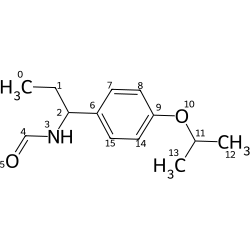 CCC(NC=O)c1ccc(OC(C)C)cc1